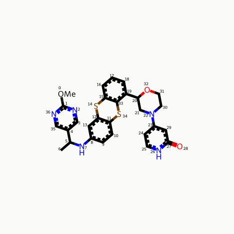 COc1ncc(C(C)Nc2ccc3c(c2)Sc2cccc(C4CN(c5cc[nH]c(=O)c5)CCO4)c2S3)cn1